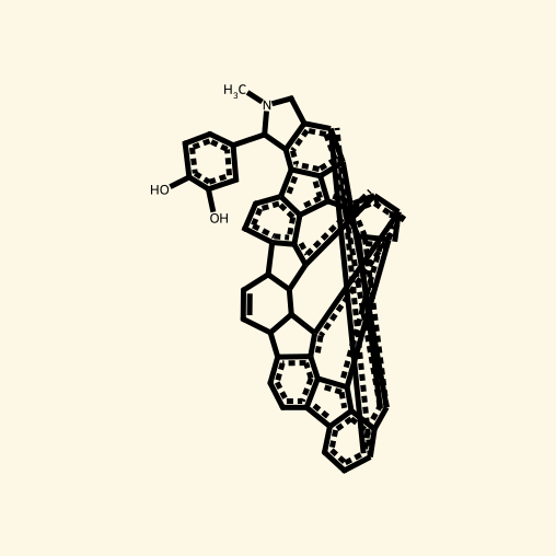 CN1Cc2c(c3c4ccc5c6c7c8c9c%10c%11c(ccc%12c%13ccc%14c2c2c3c(c64)c8c3c9c(c%11%12)c%13c%14c23)C2C=CC5C7C%102)C1c1ccc(O)c(O)c1